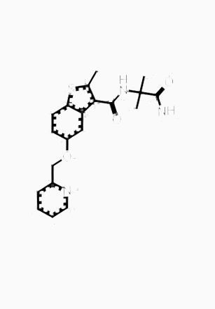 Cc1sc2ccc(OCc3ccccn3)cc2c1C(=O)NC(C)(C)C(N)=O